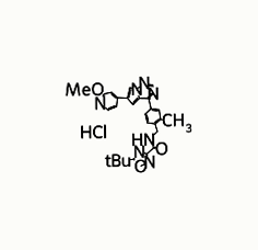 COc1cc(-c2cc3c(-c4ccc(CNC(=O)c5noc(C(C)(C)C)n5)c(C)c4)ncnn3c2)ccn1.Cl